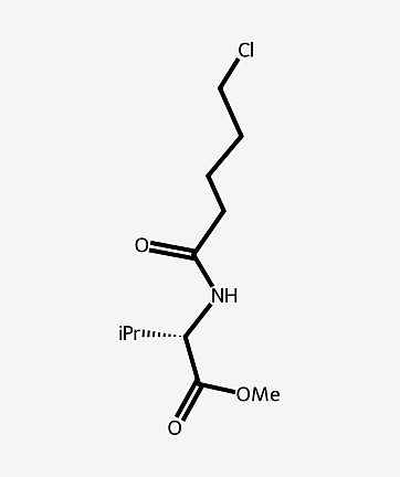 COC(=O)[C@@H](NC(=O)CCCCCl)C(C)C